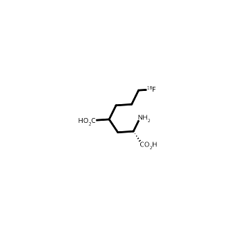 N[C@@H](CC(CCC[18F])C(=O)O)C(=O)O